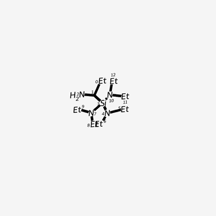 CCC(N)[Si](N(CC)CC)(N(CC)CC)N(CC)CC